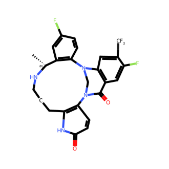 C[C@H]1NCCCc2[nH]c(=O)ccc2N2CN(c3cc(C(F)(F)F)c(F)cc3C2=O)c2ccc(F)cc21